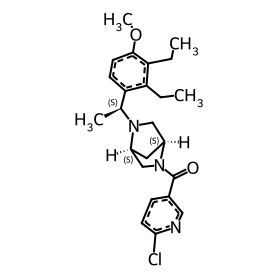 CCc1c(OC)ccc([C@H](C)N2C[C@@H]3C[C@H]2CN3C(=O)c2ccc(Cl)nc2)c1CC